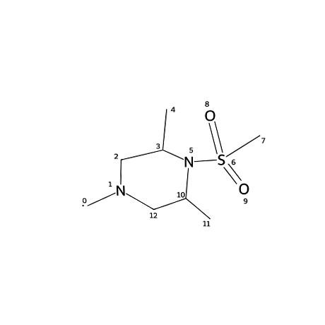 [CH2]N1CC(C)N(S(C)(=O)=O)C(C)C1